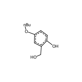 CCCCOc1ccc(O)c(CO)c1